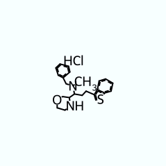 CN(Cc1ccccc1)C(CCc1csc2ccccc12)C1COCCN1.Cl